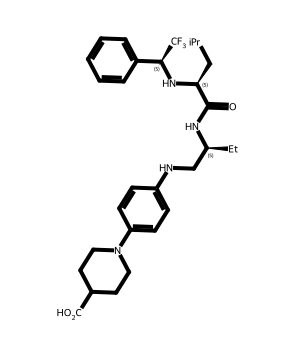 CC[C@@H](CNc1ccc(N2CCC(C(=O)O)CC2)cc1)NC(=O)[C@H](CC(C)C)N[C@@H](c1ccccc1)C(F)(F)F